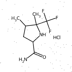 CC1CC(C(N)=O)NC1(C)C(F)(F)F.Cl